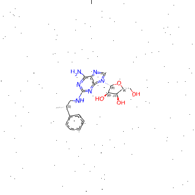 C[C@H](CNc1nc(N)c2ncn([C@@H]3O[C@H](CO)[C@@H](O)[C@H]3O)c2n1)c1ccccc1